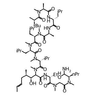 C/C=C/C[C@@H](C)[C@H](O)C(C(=O)N[C@H](CC)C(=O)N(C)CC(=O)N(C)[C@H](CCC)C(N)O)N(C)C(=O)[C@@H](C(C)C)N(C)C(=O)[C@@H](CC(C)C)N(C)C(=O)[C@@H](CC(C)C)N(C)C(=O)[C@H](C)NC(=O)[C@@H](CC(C)C)NC(=O)[C@H](C)N(C)C(=O)[C@H](C)C(C)(C)C